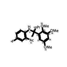 CCCC(C)(Pc1ccc(F)cc1C(C)=O)c1cc(OC)cc(OC)c1OC